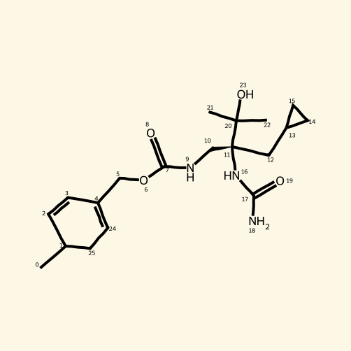 CC1C=CC(COC(=O)NC[C@@](CC2CC2)(NC(N)=O)C(C)(C)O)=CC1